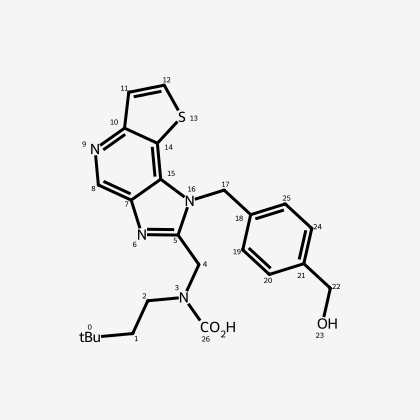 CC(C)(C)CCN(Cc1nc2cnc3ccsc3c2n1Cc1ccc(CO)cc1)C(=O)O